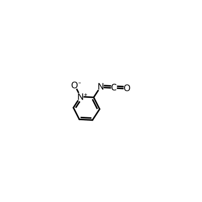 O=C=Nc1cccc[n+]1[O-]